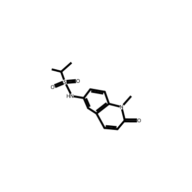 CC(C)S(=O)(=O)Nc1ccc2c(ccc(=O)n2C)c1